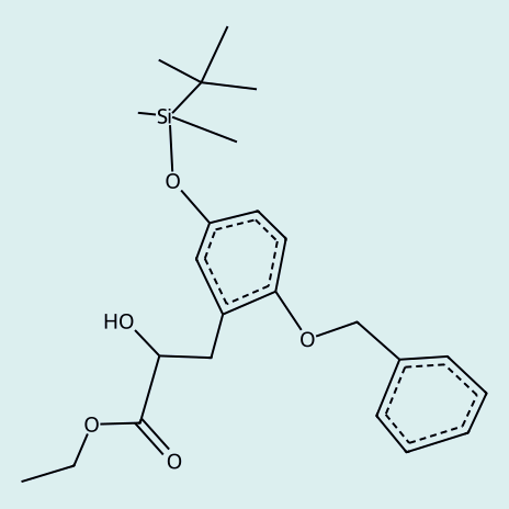 CCOC(=O)C(O)Cc1cc(O[Si](C)(C)C(C)(C)C)ccc1OCc1ccccc1